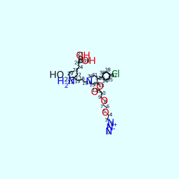 [N-]=[N+]=NCCOCCOCCC(=O)OC1CN(CCCC(N)(CCCCB(O)O)C(=O)O)CCC1c1ccc(Cl)cc1